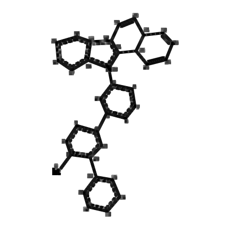 CCc1ccc(-c2cccc(-n3c4c(c5ccccc53)C=CC3C=CC=CC43)c2)cc1-c1ccccc1